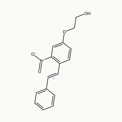 O=[N+]([O-])c1cc(OCCO)ccc1/C=C/c1ccccc1